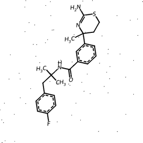 CC(C)(Cc1ccc(F)cc1)NC(=O)c1cccc(C2(C)CCSC(N)=N2)c1